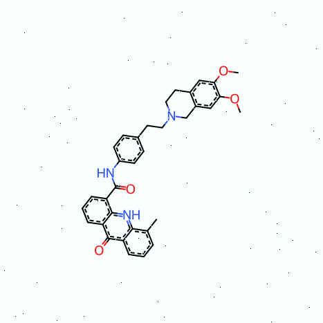 COc1cc2c(cc1OC)CN(CCc1ccc(NC(=O)c3cccc4c(=O)c5cccc(C)c5[nH]c34)cc1)CC2